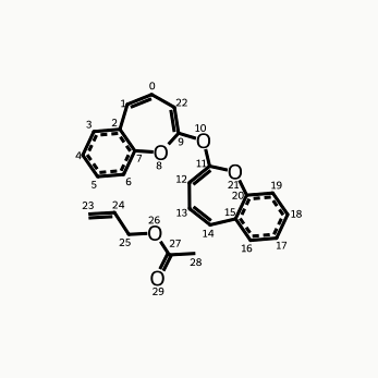 C1=Cc2ccccc2OC(OC2=CC=Cc3ccccc3O2)=C1.C=CCOC(C)=O